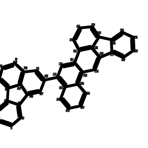 c1ccc2c(c1)-c1ccnc3cc(-c4cc5c6cccc7c6c(cc5c5ccccc45)-c4ccccc4-7)cc-2c13